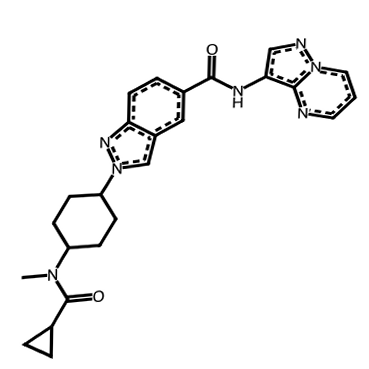 CN(C(=O)C1CC1)C1CCC(n2cc3cc(C(=O)Nc4cnn5cccnc45)ccc3n2)CC1